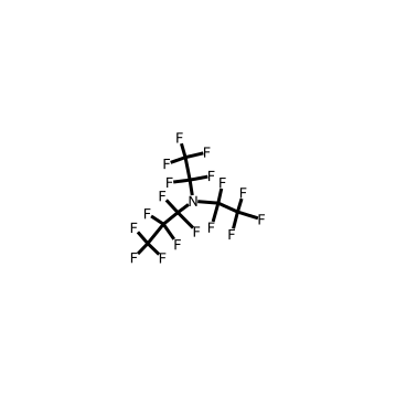 FC(F)(F)C(F)(F)N(C(F)(F)C(F)(F)F)C(F)(F)C(F)(F)C(F)(F)F